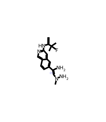 C=C(Nc1cc2cc(/C(N)=C/N(C)N)ccc2cn1)C(C)(C)F